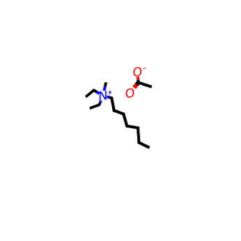 CC(=O)[O-].CCCCCCC[N+](C)(CC)CC